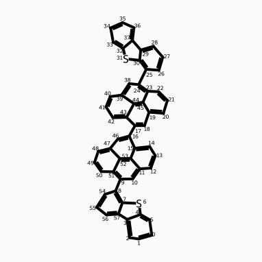 c1ccc2c(c1)sc1c(-c3cc4cccc5c(-c6cc7cccc8c(-c9cccc%10c9sc9ccccc9%10)cc9cccc6c9c78)cc6cccc3c6c45)cccc12